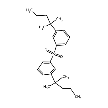 CCCC(C)(C)c1cccc(S(=O)(=O)c2cccc(C(C)(C)CCC)c2)c1